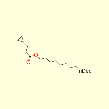 CCCCCCCCCCCCCCCCCCOC(=O)CCC1CC1